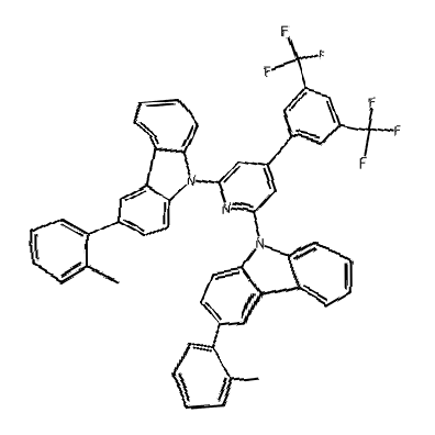 Cc1ccccc1-c1ccc2c(c1)c1ccccc1n2-c1cc(-c2cc(C(F)(F)F)cc(C(F)(F)F)c2)cc(-n2c3ccccc3c3cc(-c4ccccc4C)ccc32)n1